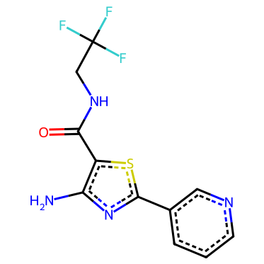 Nc1nc(-c2cccnc2)sc1C(=O)NCC(F)(F)F